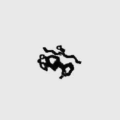 CCCCN(C=O)CCCC.CN1CCCC1c1ccc2c(c1)OCO2